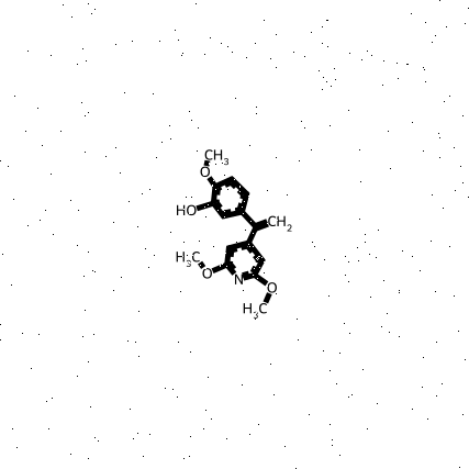 C=C(c1cc(OC)nc(OC)c1)c1ccc(OC)c(O)c1